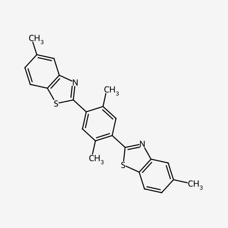 Cc1ccc2sc(-c3cc(C)c(-c4nc5cc(C)ccc5s4)cc3C)nc2c1